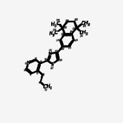 CCCc1ccncc1-c1nc(-c2ccc3c(c2)C(C)(C)CCC3(C)C)cs1